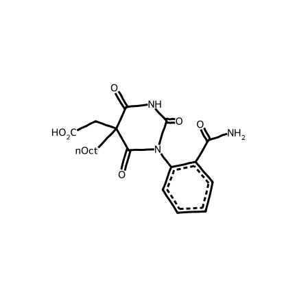 CCCCCCCCC1(CC(=O)O)C(=O)NC(=O)N(c2ccccc2C(N)=O)C1=O